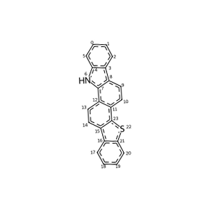 c1ccc2c(c1)[nH]c1c2ccc2c1ccc1c3ccccc3sc12